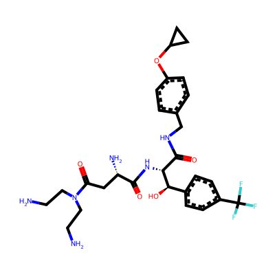 NCCN(CCN)C(=O)C[C@H](N)C(=O)N[C@H](C(=O)NCc1ccc(OC2CC2)cc1)[C@H](O)c1ccc(C(F)(F)F)cc1